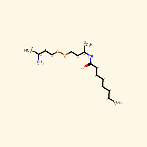 CCCCCCCCCCCCCCCCC(=O)NC(CCSSCCC(N)C(=O)O)C(=O)O